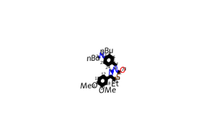 CCCCN(CCCC)c1ccc(CN2N=C(c3ccc(OC)c(OC)c3)C(CC)SC2=O)cc1